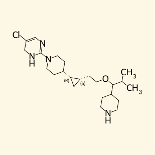 CC(C)C(OCC[C@@H]1C[C@@H]1C1CCN(C2=NC=C(Cl)CN2)CC1)C1CCNCC1